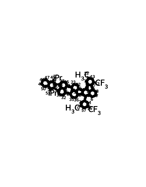 Cc1cc(-c2c3cccc4c5c(C(F)(F)F)cc(C)cc5c(c34)c3c4ccc5c6ccc7c8c(ccc(c9ccc(c23)c4c95)c86)-c2c-7c(C(C)C)c3ccccc3c2C(C)C)cc(C(F)(F)F)c1